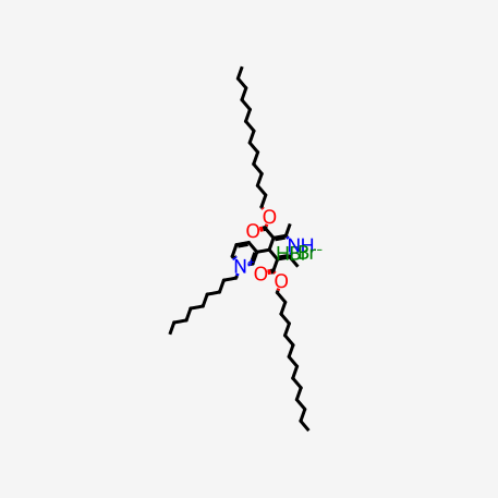 Br.CCCCCCCCCCCCCCOC(=O)C1=C(C)NC(C)=C(C(=O)OCCCCCCCCCCCCCC)C1c1ccc[n+](CCCCCCCCC)c1.[Br-]